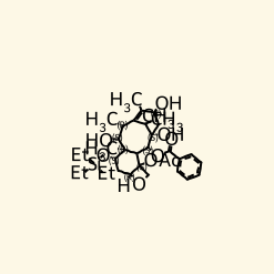 CC[Si](CC)(CC)O[C@H]1C[C@H]2OC[C@@]2(OC(C)=O)C2[C@H](OC(=O)c3ccccc3)[C@]3(O)C[C@H](O)C(C)=C([C@@H](C)[C@H](O)[C@@]21C)C3(C)C